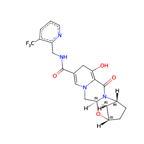 C[C@H]1[C@@H]2CC[C@H]1N1C(=O)C3=C(O)CC(C(=O)NCc4ncccc4C(F)(F)F)=CN3C[C@@H]1O2